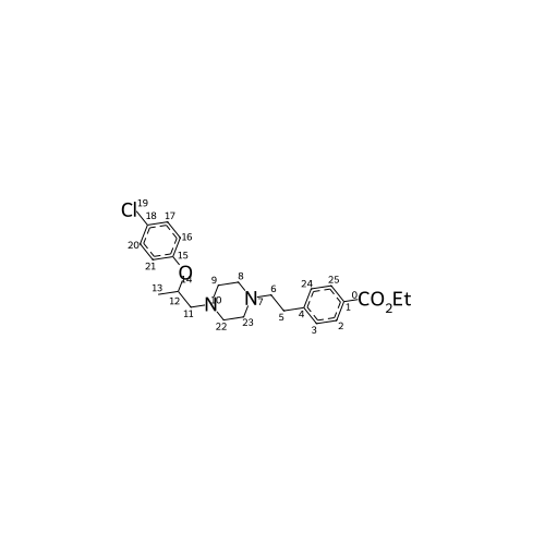 CCOC(=O)c1ccc(CCN2CCN(CC(C)Oc3ccc(Cl)cc3)CC2)cc1